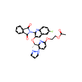 CC(=O)OCCOc1ccc(-n2cccn2)c([C@H](C)Oc2cc3cc(F)ccc3nc2N2C(=O)c3ccccc3C2=O)n1